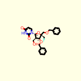 O=c1ccn([C@@H]2O[C@](CF)(COCc3ccccc3)[C@@H](OCc3ccccc3)[C@H]2CO)c(=O)[nH]1